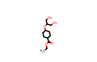 CCOC(=O)C1CCC(OC(CO)CO)CC1